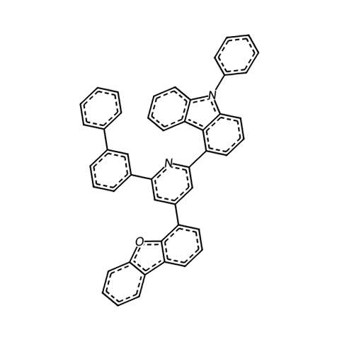 c1ccc(-c2cccc(-c3cc(-c4cccc5c4oc4ccccc45)cc(-c4cccc5c4c4ccccc4n5-c4ccccc4)n3)c2)cc1